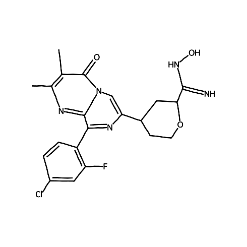 Cc1nc2c(-c3ccc(Cl)cc3F)nc(C3CCOC(C(=N)NO)C3)cn2c(=O)c1C